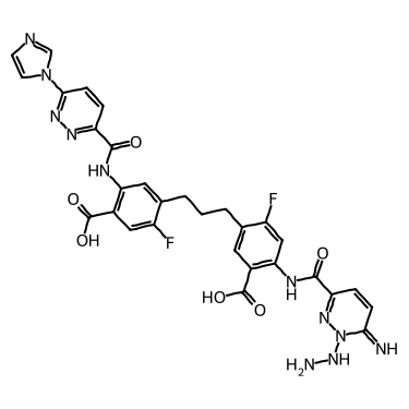 N=c1ccc(C(=O)Nc2cc(F)c(CCCc3cc(NC(=O)c4ccc(-n5ccnc5)nn4)c(C(=O)O)cc3F)cc2C(=O)O)nn1NN